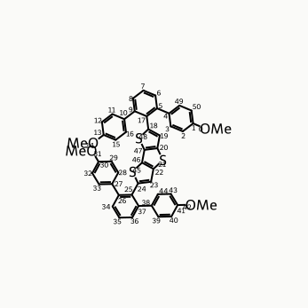 COc1ccc(-c2cccc(-c3ccc(OC)cc3)c2-c2cc3sc4cc(-c5c(-c6ccc(OC)cc6)cccc5-c5ccc(OC)cc5)sc4c3s2)cc1